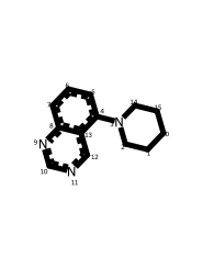 [CH]1CCN(c2cccc3ncncc23)CC1